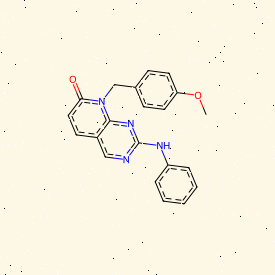 COc1ccc(Cn2c(=O)ccc3cnc(Nc4ccccc4)nc32)cc1